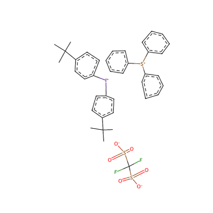 CC(C)(C)c1ccc([I+]c2ccc(C(C)(C)C)cc2)cc1.O=S(=O)([O-])C(F)(F)S(=O)(=O)[O-].c1ccc([S+](c2ccccc2)c2ccccc2)cc1